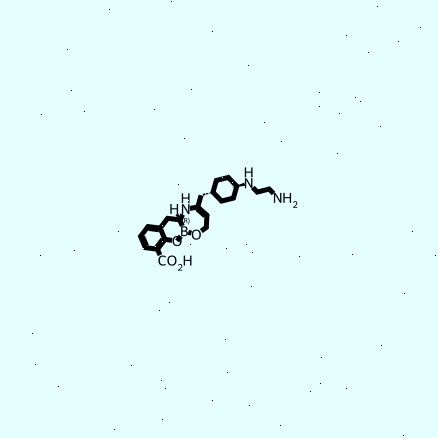 NCCN[C@H]1CC[C@H](CC2=CCOB3Oc4c(cccc4C(=O)O)C[C@@H]3N2)CC1